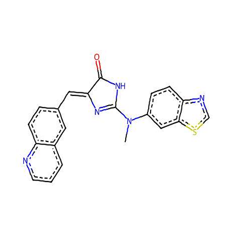 CN(C1=NC(=Cc2ccc3ncccc3c2)C(=O)N1)c1ccc2ncsc2c1